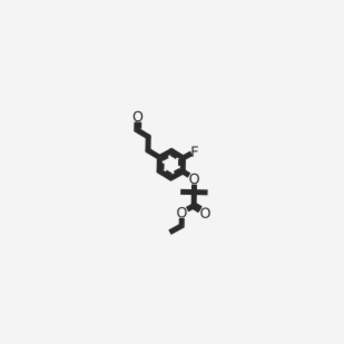 CCOC(=O)C(C)(C)Oc1ccc(CCC=O)cc1F